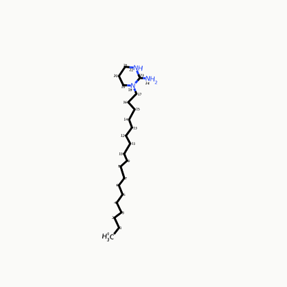 CCCCCCCCCCCCCCCCCCN1CCCNC1N